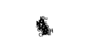 CN(CC1(c2cccc(C(C)(C)C)c2)CC1)C(=O)[C@H]1[C@H]2CC(F)(F)CN2[C@]2(C(=O)Nc3c(Cl)cc(Cl)cc32)[C@H]1C(=O)O